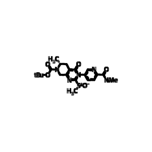 CNC(=O)c1ccc(-n2c([S+](C)[O-])nc3c(c2=O)C[C@@H](C)N(C(=O)OC(C)(C)C)C3)cn1